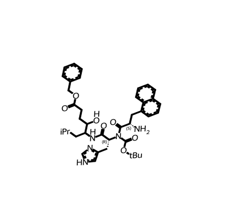 CC(C)CC(NC(=O)[C@@H](Cc1c[nH]cn1)N(C(=O)OC(C)(C)C)C(=O)[C@@H](N)Cc1cccc2ccccc12)C(O)CCC(=O)OCc1ccccc1